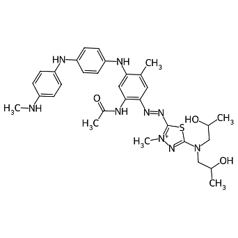 CNc1ccc(Nc2ccc(Nc3cc(NC(C)=O)c(N=Nc4sc(N(CC(C)O)CC(C)O)n[n+]4C)cc3C)cc2)cc1